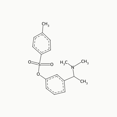 Cc1ccc(S(=O)(=O)Oc2cccc(C(C)N(C)C)c2)cc1